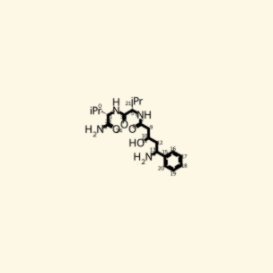 CC(C)[C@H](NC(=O)[C@@H](NC(=O)CC(O)CC(N)c1ccccc1)C(C)C)C(N)=O